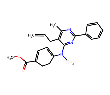 C=CCc1c(C)nc(-c2ccccc2)nc1N(C)C1=CC=C(C(=O)OC)CC1